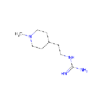 CN1CCC(CCNC(=N)N)CC1